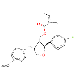 C/C=C(/C)C(=O)OC[C@H]1[C@@H](Cc2ccc(OC)cc2)CO[C@@H]1c1ccc(F)cc1